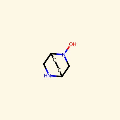 ON1CC2CCC1CN2